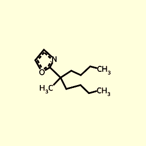 CCCCC(C)(CCCC)c1ncco1